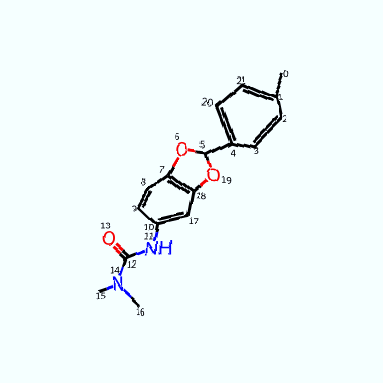 Cc1ccc(C2Oc3ccc(NC(=O)N(C)C)cc3O2)cc1